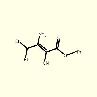 CCCOC(=O)/C(C#N)=C(\N)C(CC)CC